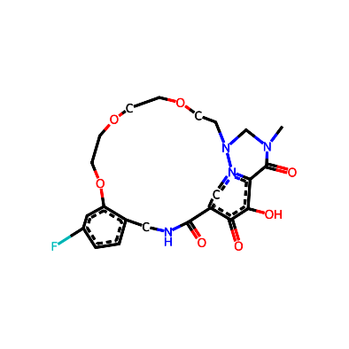 CN1CN2CCOCCOCCOc3cc(F)ccc3CNC(=O)c3cn2c(c(O)c3=O)C1=O